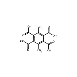 Cc1c(C(=O)O)c(C(=O)O)c(C)c(C(=O)O)c1C(=O)O